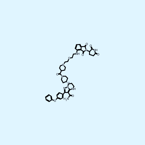 NC(=O)c1c(-c2ccc(Oc3ccccc3)cc2)nn2c1NCC[C@H]2C1CCN(C(=O)C2CCN(CCOCCNc3cccc4c3C(=O)N(C3CCC(=O)NC3=O)C4=O)CC2)CC1